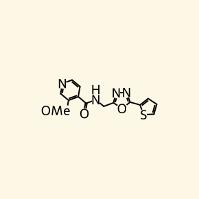 COc1cnccc1C(=O)NCc1nnc(-c2cccs2)o1